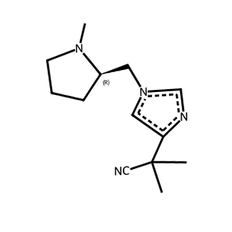 CN1CCC[C@@H]1Cn1cnc(C(C)(C)C#N)c1